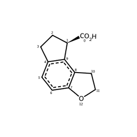 O=C(O)[C@@H]1CCc2ccc3c(c21)CCO3